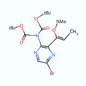 C/C=C(\ONC)c1nc(Br)cnc1N(C(=O)OC(C)(C)C)C(=O)OC(C)(C)C